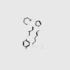 CCOC(=O)CCCC=CC[C@H]1C=C[C@@H](OC2CCCCO2)[C@@H]1C=CC(=O)COc1ccc(F)cc1